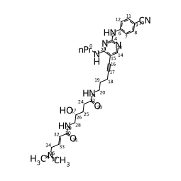 CCCNc1nc(Nc2ccc(C#N)cc2)ncc1C#CCCCNC(=O)CC[C@@H](O)CNC(=O)/C=C/CN(C)C